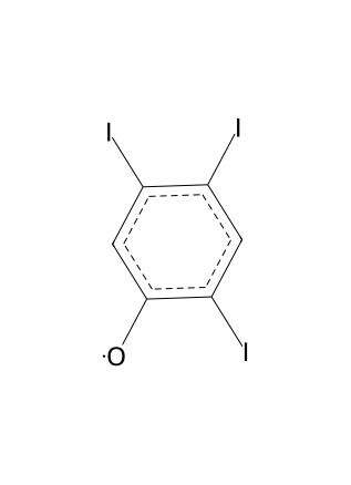 [O]c1cc(I)c(I)cc1I